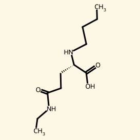 CCCCN[C@@H](CCC(=O)NCC)C(=O)O